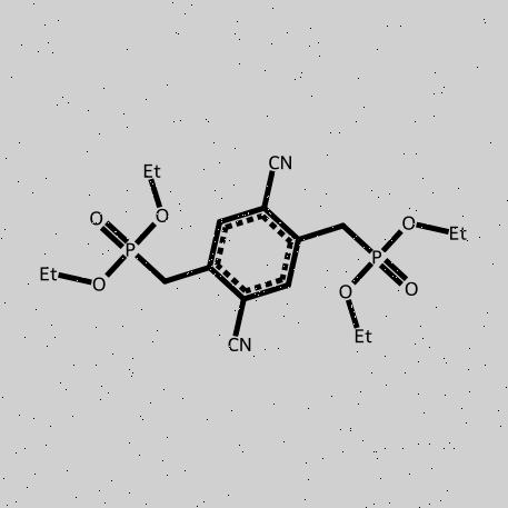 CCOP(=O)(Cc1cc(C#N)c(CP(=O)(OCC)OCC)cc1C#N)OCC